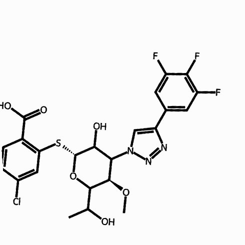 CO[C@H]1C(C(C)O)O[C@H](Sc2cc(Cl)ccc2C(=O)O)C(O)C1n1cc(-c2cc(F)c(F)c(F)c2)nn1